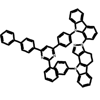 c1ccc(-c2ccc(-c3cc(-c4ccc(-n5c6ccccc6c6cccc(-n7ncc8c7CCc7c-8n(-c8ccccc8)c8ccccc78)c65)cc4)nc(-c4ccccc4)n3)cc2)cc1